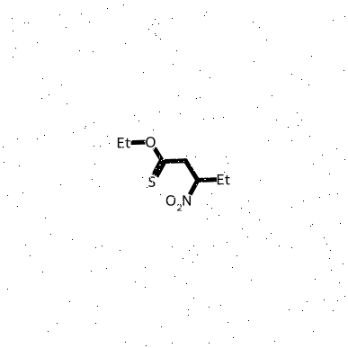 CCOC(=S)CC(CC)[N+](=O)[O-]